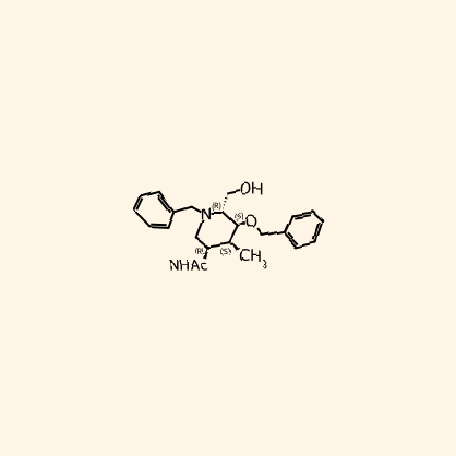 CC(=O)N[C@H]1CN(Cc2ccccc2)[C@H](CO)[C@@H](OCc2ccccc2)[C@H]1C